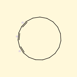 [C]1=C/C=C\C=C/CCCCCCCCCCCCC\1